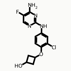 Nc1nc(Nc2ccc(OC3CC(O)C3)c(Cl)c2)ncc1F